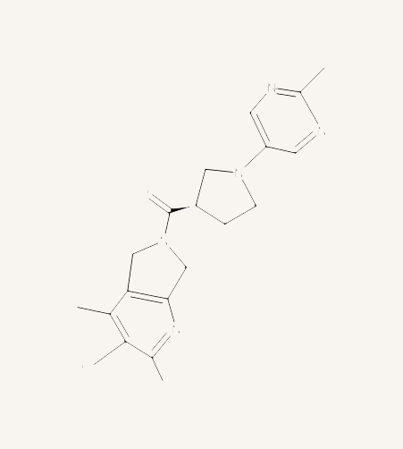 Cc1ncc(N2CC[C@@H](C(=O)N3Cc4nc(C)c(Cl)c(C)c4C3)C2)cn1